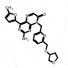 Cc1ccc(-c2nc(N)nc3c2ncc(=O)n3Cc2cccc(COC3CCOC3)n2)o1